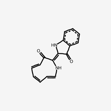 O=C1/C=C/C=C\C=C\N/C1=C1/Nc2ccccc2C1=O